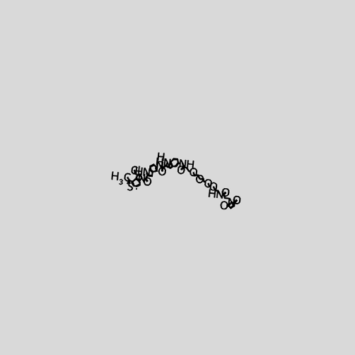 Cc1csc2[c]cc3c(c12)[C@H](CCl)CN3C(=O)c1cc2cc(NC(=O)c3cc4cc(NC(=O)CCOCCOCCOCOCCNC(=O)CCN5C(=O)C=CC5=O)ccc4[nH]3)ccc2[nH]1